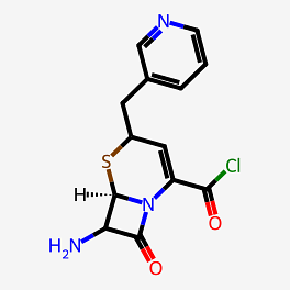 NC1C(=O)N2C(C(=O)Cl)=CC(Cc3cccnc3)S[C@H]12